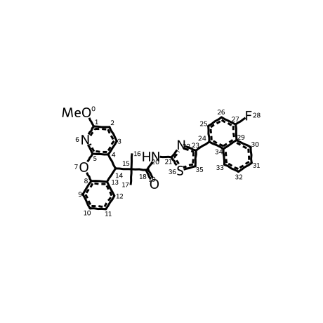 COc1ccc2c(n1)Oc1ccccc1C2C(C)(C)C(=O)Nc1nc(-c2ccc(F)c3ccccc23)cs1